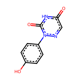 O=c1cnn(-c2ccc(O)cc2)c(=O)[nH]1